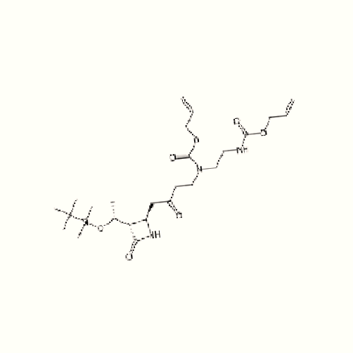 C=CCOC(=O)NCCN(CCC(=O)C[C@H]1NC(=O)[C@@H]1[C@@H](C)O[Si](C)(C)C(C)(C)C)C(=O)OCC=C